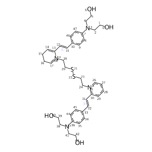 OCCN(CCO)c1ccc(/C=C/C2=CCCC=[N+]2CCSSCC[n+]2ccccc2/C=C/c2ccc(N(CCO)CCO)cc2)cc1